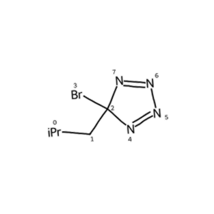 CC(C)CC1(Br)N=NN=N1